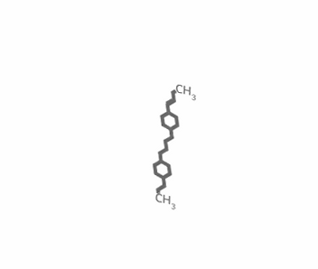 CCC=CC1CCC(CCCCC2CCC(CCC)CC2)CC1